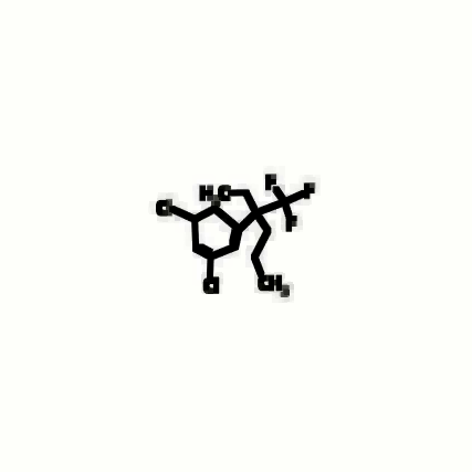 CCCC(CC)(C1=CC(Cl)=CC(Cl)C1)C(F)(F)F